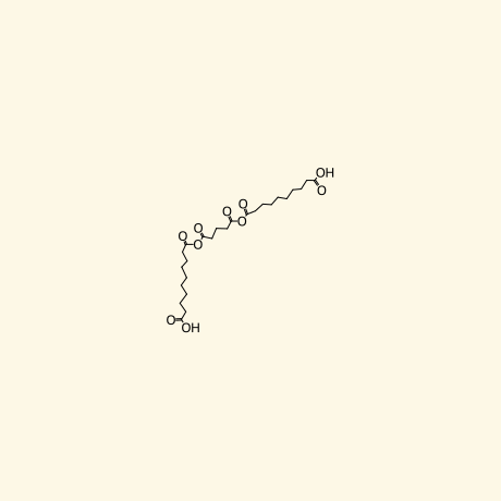 O=C(O)CCCCCCCCC(=O)OC(=O)CCCC(=O)OC(=O)CCCCCCCCC(=O)O